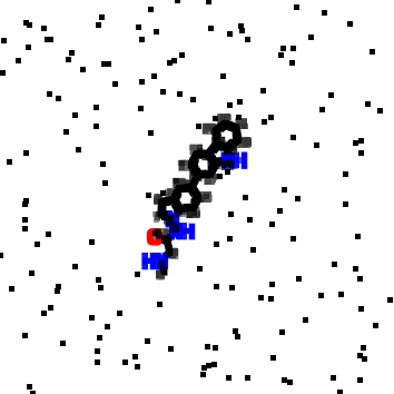 CNCC(=O)Nn1ccc2cc(-c3ccc4c(c3)[nH]c3ccccc34)ccc21